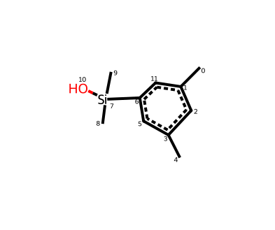 Cc1cc(C)cc([Si](C)(C)O)c1